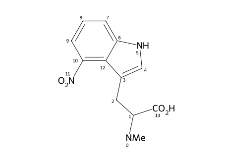 CNC(Cc1c[nH]c2cccc([N+](=O)[O-])c12)C(=O)O